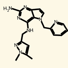 Cc1cc(CNc2nc(N)nc3ccn(Cc4ccccn4)c23)nn1C